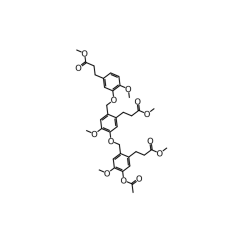 COC(=O)CCc1ccc(OC)c(OCc2cc(OC)c(OCc3cc(OC)c(OC(C)=O)cc3CCC(=O)OC)cc2CCC(=O)OC)c1